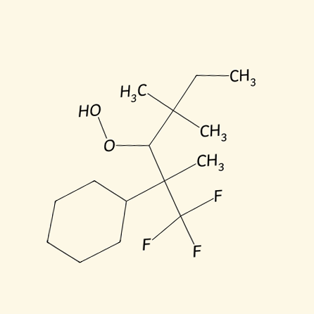 CCC(C)(C)C(OO)C(C)(C1CCCCC1)C(F)(F)F